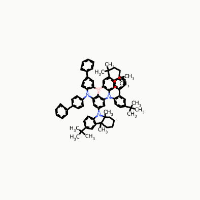 CC(C)(C)c1ccc(N2c3cc4c(cc3B3c5cc(-c6ccccc6)ccc5N(c5ccc(-c6ccccc6)cc5)c5cc(N6c7ccc(C(C)(C)C)cc7C7(C)CCCCC67C)cc2c53)C(C)(C)CCC4(C)C)c(-c2ccccc2)c1